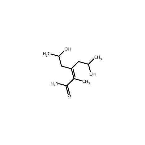 CC(C(N)=O)=C(CC(C)O)CC(C)O